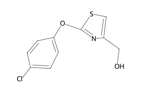 OCc1csc(Oc2ccc(Cl)cc2)n1